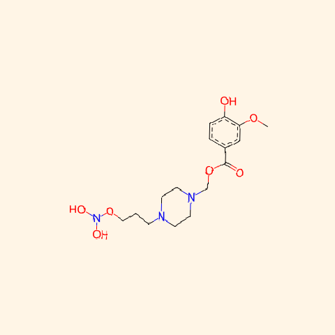 COc1cc(C(=O)OCN2CCN(CCCON(O)O)CC2)ccc1O